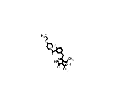 CCOC1CCN(C(=O)c2cc(Cc3n[nH]c(=O)c4c(C)[nH]c(C)c34)ccc2F)CC1